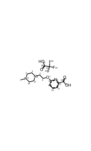 CN1CCN(CCOc2cccc(C(=O)O)n2)CC1.O=C(O)C(F)(F)F